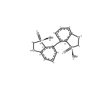 CCCC[P@]1(=O)COc2cccc(-c3cccc4c3[P@](=O)(C(C)(C)C)CO4)c21